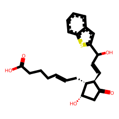 O=C(O)CCCC=CC[C@H]1[C@@H](O)CC(=O)[C@@H]1C=CC(O)c1cc2ccccc2s1